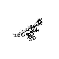 CC(C)(C)OC(=O)NCCCC[C@H](NC(=O)OCc1ccccc1)[C@H](O)C(=O)ON1C(=O)CCC1=O